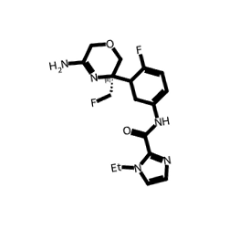 CCn1ccnc1C(=O)NC1=CC=C(F)C([C@]2(CF)COCC(N)=N2)C1